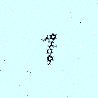 COc1ccc(N2CCN(CC(O)COc3ccccc3NC(N)=O)CC2)cc1